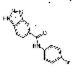 O=C(Nc1ccc(Br)cc1)c1ccc2[nH]nnc2c1